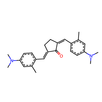 Cc1cc(N(C)C)ccc1C=C1CCC(=Cc2ccc(N(C)C)cc2C)C1=O